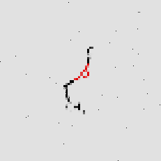 CCO[1C]